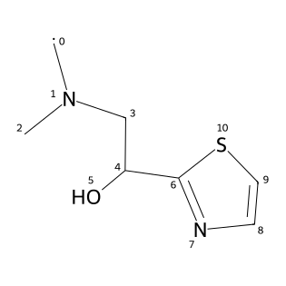 [CH2]N(C)CC(O)c1nccs1